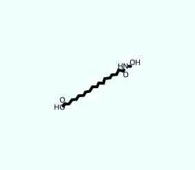 O=C(O)CCCCCCCCCCCCCCCCC(=O)NCO